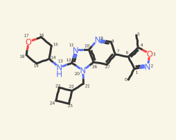 Cc1noc(C)c1-c1cnc2nc(NC3CCOCC3)n(CC3CCC3)c2c1